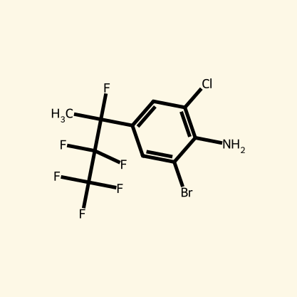 CC(F)(c1cc(Cl)c(N)c(Br)c1)C(F)(F)C(F)(F)F